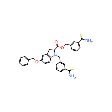 NC(=S)c1cccc(COC(=O)C2Cc3cc(OCc4ccccc4)ccc3N2Cc2cccc(C(N)=S)c2)c1